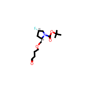 CC(C)(C)OC(=O)N1C[C@@H](F)C[C@H]1COCCCC=O